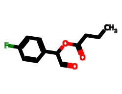 CCCC(=O)OC(C=O)c1ccc(F)cc1